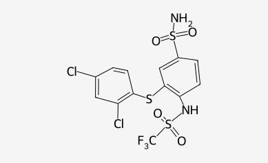 NS(=O)(=O)c1ccc(NS(=O)(=O)C(F)(F)F)c(Sc2ccc(Cl)cc2Cl)c1